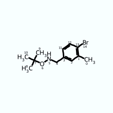 Cc1cc(CNOC(C)(C)C)ccc1Br